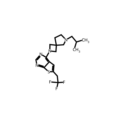 CC(C)CN1CCC2(C1)CN(c1ncnc3sc(CC(F)(F)F)cc13)C2